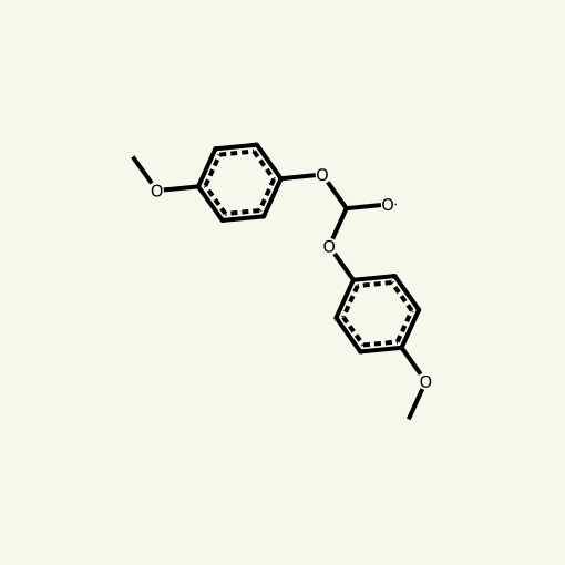 COc1ccc(OC([O])Oc2ccc(OC)cc2)cc1